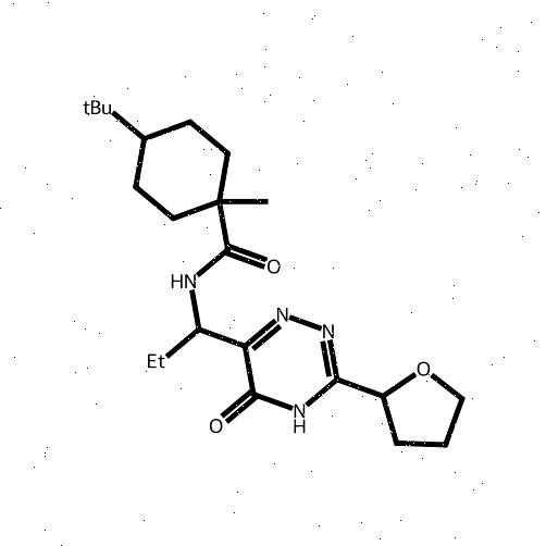 CCC(NC(=O)C1(C)CCC(C(C)(C)C)CC1)c1nnc(C2CCCO2)[nH]c1=O